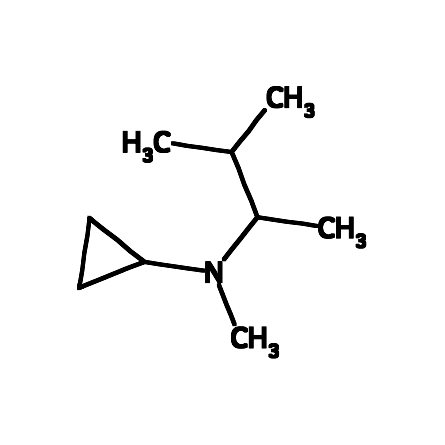 CC(C)C(C)N(C)C1CC1